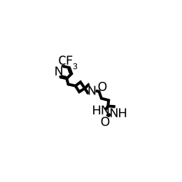 O=C1NCC(CCC(=O)N2CC3(CC(Cc4ccc(C(F)(F)F)nc4)C3)C2)N1